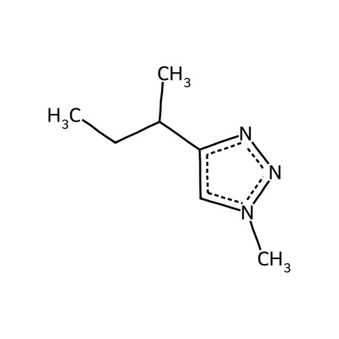 CCC(C)c1cn(C)nn1